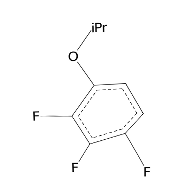 CC(C)Oc1ccc(F)c(F)c1F